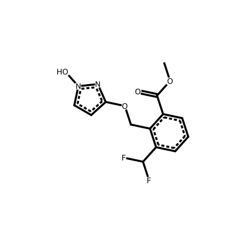 COC(=O)c1cccc(C(F)F)c1COc1ccn(O)n1